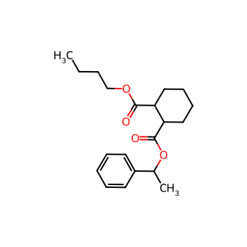 CCCCOC(=O)C1CCCCC1C(=O)OC(C)c1ccccc1